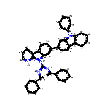 c1ccc(-c2cc(-c3ccccc3)nc(-n3c4cc(-c5ccc6c7ccccc7n(-c7ccccc7)c6c5)ccc4c4cccnc43)n2)cc1